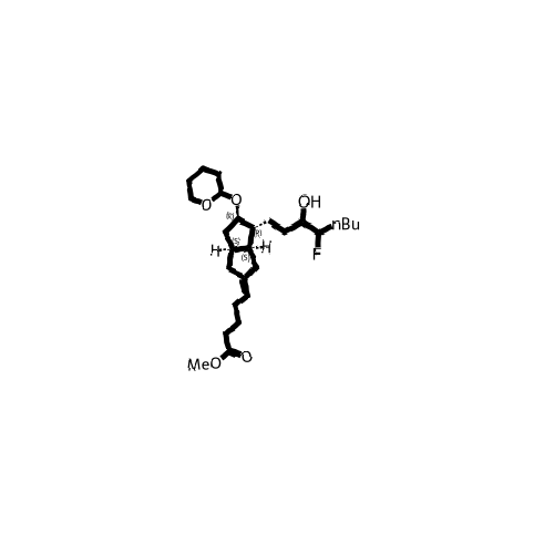 CCCCC(F)C(O)CC[C@@H]1[C@H]2CC(=CCCCC(=O)OC)C[C@H]2C[C@H]1OC1CCCCO1